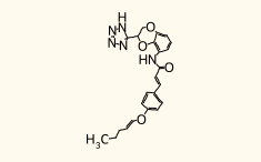 CCC/C=C/Oc1ccc(/C=C/C(=O)Nc2cccc3c2OC(c2nnn[nH]2)CO3)cc1